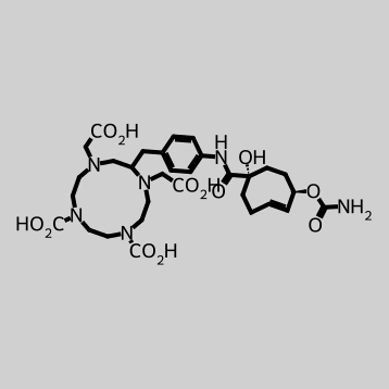 NC(=O)O[C@H]1/C=C/CC[C@@](O)(C(=O)Nc2ccc(CC3CN(CC(=O)O)CCN(C(=O)O)CCN(C(=O)O)CCN3CC(=O)O)cc2)CC1